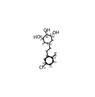 O[C@H]1[C@H](O)CN(CCc2cc(Cl)ccc2F)C[C@@H]1O